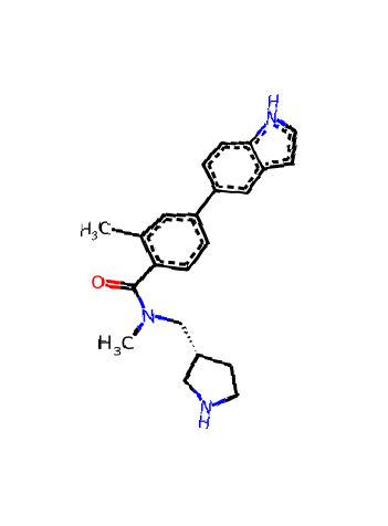 Cc1cc(-c2ccc3[nH]ccc3c2)ccc1C(=O)N(C)C[C@@H]1CCNC1